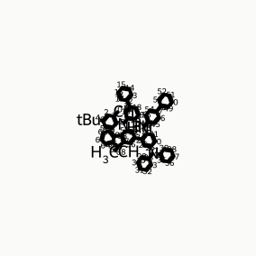 Cc1cc(C(C)(C)C)ccc1N1c2cc(-c3ccccc3)ccc2Bc2c(-c3cc(N(c4ccccc4)c4ccccc4)ccc3Nc3ccc(-c4ccccc4)cc3)cc3c(c21)-c1ccccc1C3(C)C